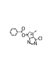 C[C@@H]1C[C@@H](OC(=O)c2ccccc2)c2ncnc(Cl)c21